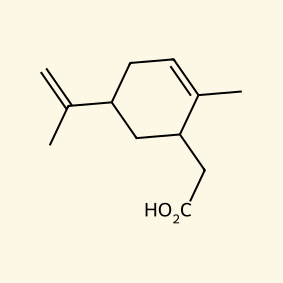 C=C(C)C1CC=C(C)C(CC(=O)O)C1